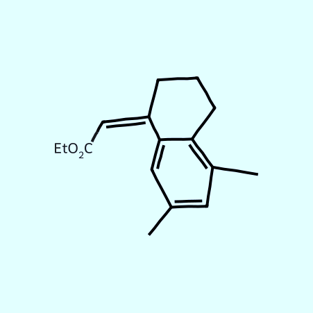 CCOC(=O)/C=C1/CCCc2c(C)cc(C)cc21